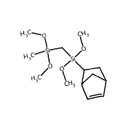 CO[Si](C)(C[Si](OC)(OC)C1CC2C=CC1C2)OC